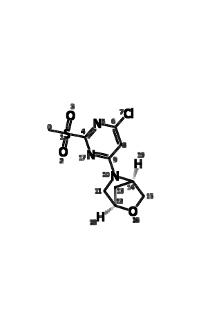 CS(=O)(=O)c1nc(Cl)cc(N2C[C@H]3C[C@@H]2CO3)n1